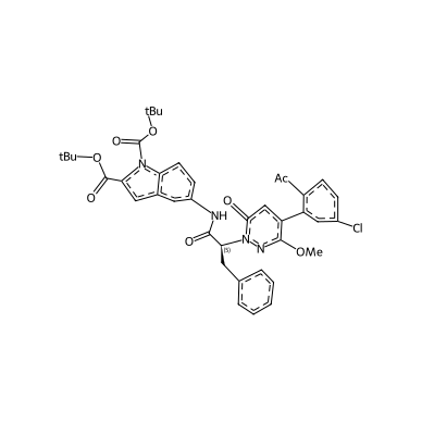 COc1nn([C@@H](Cc2ccccc2)C(=O)Nc2ccc3c(c2)cc(C(=O)OC(C)(C)C)n3C(=O)OC(C)(C)C)c(=O)cc1-c1cc(Cl)ccc1C(C)=O